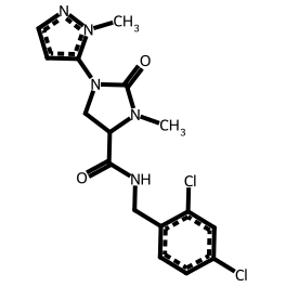 CN1C(=O)N(c2ccnn2C)CC1C(=O)NCc1ccc(Cl)cc1Cl